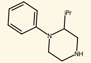 CC(C)C1CNCCN1c1ccccc1